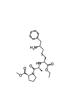 CCOC(=O)[C@H](CSC[C@@H](N)Cc1ccccc1)N[C@@H](C)C(=O)N1CCC[C@H]1C(=O)OC